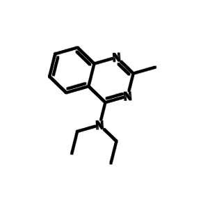 CCN(CC)c1nc(C)nc2ccccc12